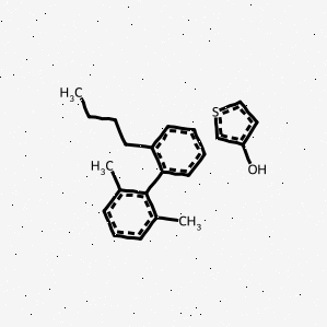 CCCCc1ccccc1-c1c(C)cccc1C.Oc1ccsc1